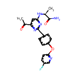 CC(=O)c1cc(N[C@@H](C)C(N)=O)nc(-c2ccc(Oc3ccc(F)cn3)cc2)n1